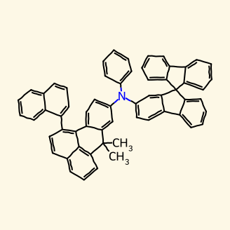 CC1(C)c2cc(N(c3ccccc3)c3ccc4c(c3)C3(c5ccccc5-c5ccccc53)c3ccccc3-4)ccc2-c2c(-c3cccc4ccccc34)ccc3cccc1c23